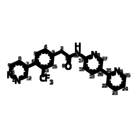 O=C(Cc1ccc(-c2ccnnc2)c(C(F)(F)F)c1)Nc1ccc(-c2ccccn2)cn1